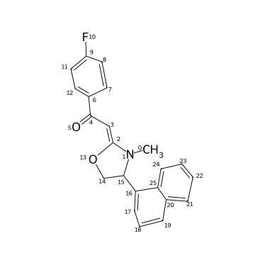 CN1C(=CC(=O)c2ccc(F)cc2)OCC1c1cccc2ccccc12